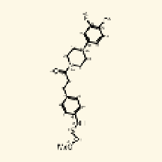 COOSNc1ccc(CCC(=O)N2CCN(c3ccc(F)c(F)c3)CC2)cc1